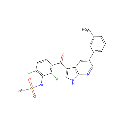 CCCS(=O)(=O)Nc1c(F)ccc(C(=O)c2c[nH]c3ncc(-c4cccc(C(=O)O)c4)cc23)c1F